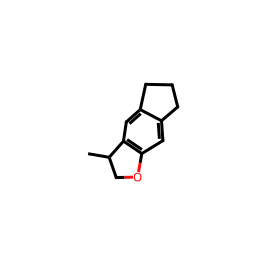 CC1COc2cc3c(cc21)CCC3